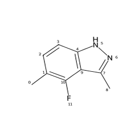 Cc1ccc2[nH]nc(C)c2c1F